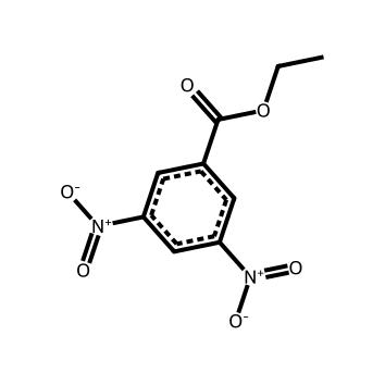 CCOC(=O)c1cc([N+](=O)[O-])cc([N+](=O)[O-])c1